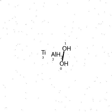 OO.[AlH3].[Ti]